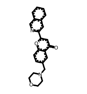 O=c1cc(-c2cc3ccccc3cn2)oc2ccc(CN3CCOCC3)cc12